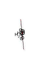 CCCCCCCCCCCCCCCC(=O)OCCSC[C@H](N)C(=O)N[C@@H](COC(=O)CCCCCCCCCCCCCCC)C(=O)OC